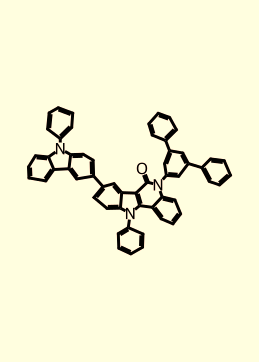 O=c1c2c3cc(-c4ccc5c(c4)c4ccccc4n5-c4ccccc4)ccc3n(-c3ccccc3)c2c2ccccc2n1-c1cc(-c2ccccc2)cc(-c2ccccc2)c1